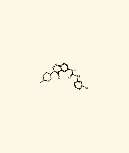 CC(=O)c1cccc(NC(=O)Nc2ccc3ncn(C4CCN(C)CC4)c(=O)c3c2)c1